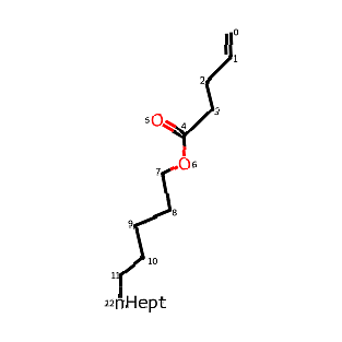 C=CCCC(=O)OCCCCCCCCCCCC